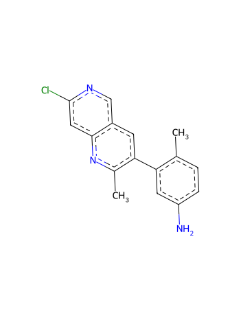 Cc1ccc(N)cc1-c1cc2cnc(Cl)cc2nc1C